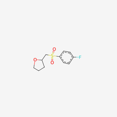 O=S(=O)(CC1CCCO1)c1ccc(F)cc1